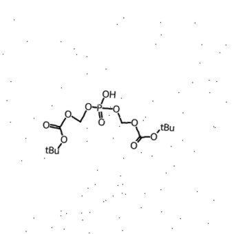 CC(C)(C)OC(=O)OCOP(=O)(O)OCOC(=O)OC(C)(C)C